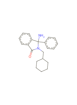 NC1(c2ccccc2)c2ccccc2C(=O)N1CC1CCCCC1